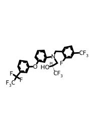 O[C@H](CN(Cc1ccc(C(F)(F)F)cc1F)c1cccc(Oc2cccc(C(F)(F)C(F)(F)F)c2)c1)C(F)(F)F